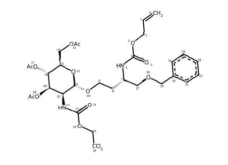 C=CCOC(=O)N[C@@H](CCO[C@H]1O[C@H](COC(C)=O)[C@@H](OC(C)=O)[C@H](OC(C)=O)[C@@H]1NC(=O)OCC(Cl)(Cl)Cl)COCc1ccccc1